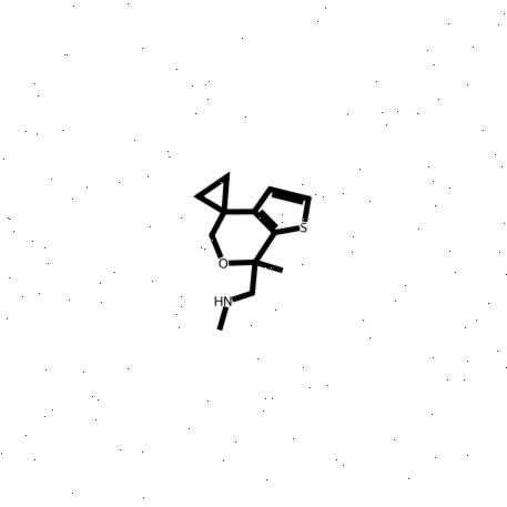 CNCC1(C)OCC2(CC2)c2ccsc21